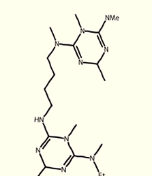 CCN(C)C1=NC(C)N=C(NCCCCN(C)C2=NC(C)N=C(NC)N2C)N1C